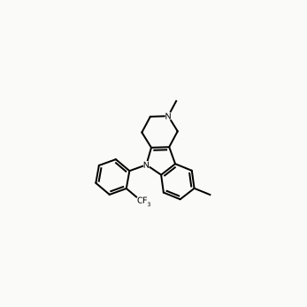 Cc1ccc2c(c1)c1c(n2-c2ccccc2C(F)(F)F)CCN(C)C1